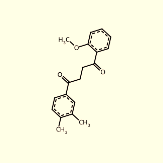 COc1ccccc1C(=O)CCC(=O)c1ccc(C)c(C)c1